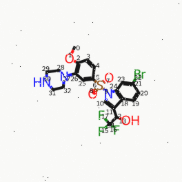 COc1ccc(S(=O)(=O)n2cc(C(O)C(F)(F)F)c3ccc(Br)cc32)cc1N1CCNCC1